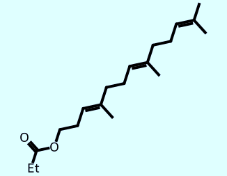 CCC(=O)OCC/C=C(\C)CC/C=C(\C)CCC=C(C)C